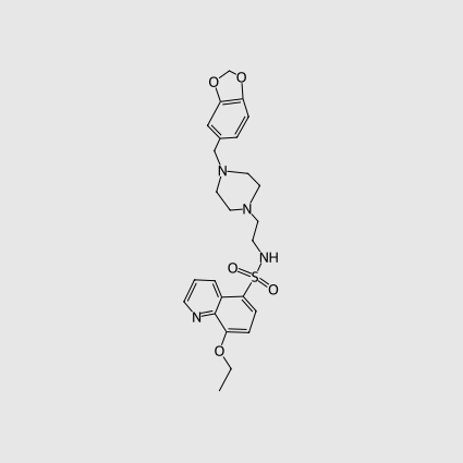 CCOc1ccc(S(=O)(=O)NCCN2CCN(Cc3ccc4c(c3)OCO4)CC2)c2cccnc12